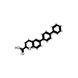 O=C(O)C1CCc2cc(-c3ccc(-c4ccccc4)cc3)ccc2O1